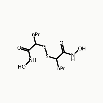 CCCC(SSC(CCC)C(=O)NO)C(=O)NO